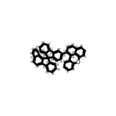 c1ccc2c(c1)Oc1cccc3ccc(-c4ccc5c(c4)-c4ccccc4C54c5ccccc5-c5ccc6ccccc6c54)c-2c13